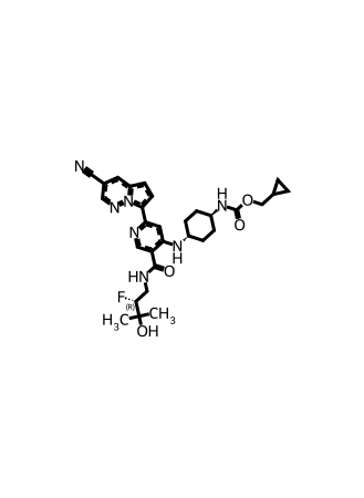 CC(C)(O)[C@H](F)CNC(=O)c1cnc(-c2ccc3cc(C#N)cnn23)cc1N[C@H]1CC[C@H](NC(=O)OCC2CC2)CC1